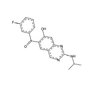 CC(C)Nc1ncc2cc(C(=O)c3cccc(F)c3)c(O)cc2n1